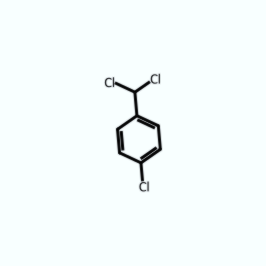 Clc1ccc(C(Cl)Cl)cc1